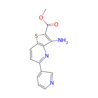 COC(=O)c1sc2ccc(-c3cccnc3)nc2c1N